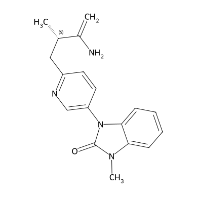 C=C(N)[C@@H](C)Cc1ccc(-n2c(=O)n(C)c3ccccc32)cn1